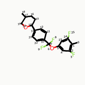 Cc1c(F)cc(OC(F)(F)c2ccc(C3CCC(C)CO3)cc2)cc1F